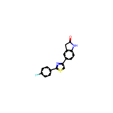 O=C1Cc2cc(-c3csc(-c4ccc(F)cc4)n3)ccc2N1